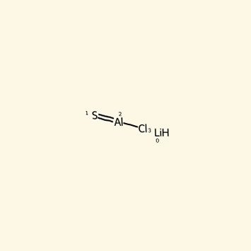 [LiH].[S]=[Al][Cl]